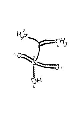 C=C(P)S(=O)(=O)O